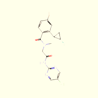 O=C(CN1C[C@@]2(C[C@H]2F)c2cc(Br)ccc2C1=O)Nc1ncc(Cl)cn1